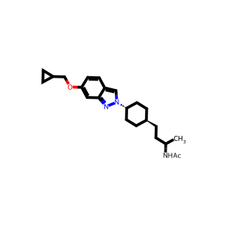 CC(=O)NC(C)CC[C@H]1CC[C@H](n2cc3ccc(OCC4CC4)cc3n2)CC1